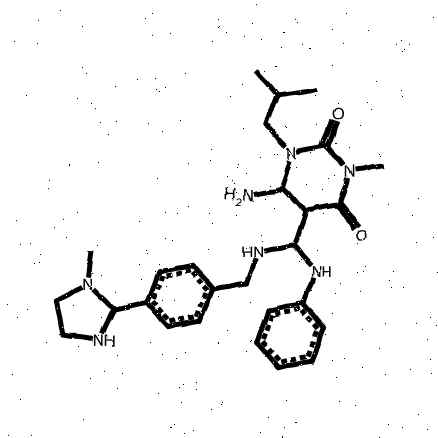 CC(C)CN1C(=O)N(C)C(=O)C(C(NCc2ccc(C3NCCN3C)cc2)Nc2ccccc2)C1N